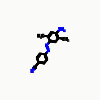 Cc1cc(N=Nc2ccc(C#N)cc2)c(C)cc1N